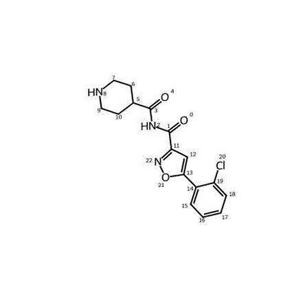 O=C(NC(=O)C1CCNCC1)c1cc(-c2ccccc2Cl)on1